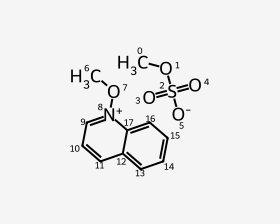 COS(=O)(=O)[O-].CO[n+]1cccc2ccccc21